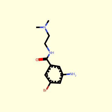 CN(C)CCNC(=O)c1cc(N)cc(Br)c1